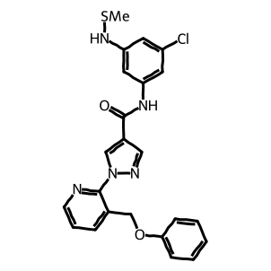 CSNc1cc(Cl)cc(NC(=O)c2cnn(-c3ncccc3COc3ccccc3)c2)c1